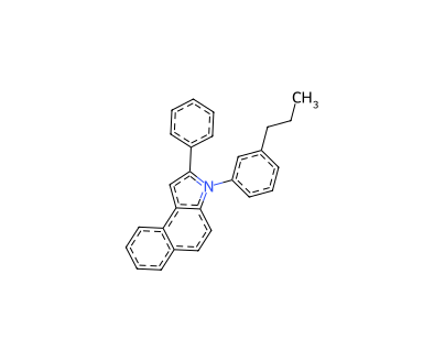 CCCc1cccc(-n2c(-c3ccccc3)cc3c4ccccc4ccc32)c1